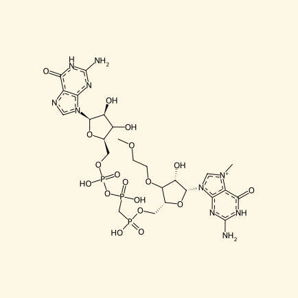 COCCOC1[C@@H](COP(=O)(O)CP(=O)(O)OP(=O)(O)OC[C@H]2O[C@@H](n3cnc4c(=O)[nH]c(N)nc43)[C@@H](O)C2O)O[C@@H](n2c[n+](C)c3c(=O)[nH]c(N)nc32)[C@H]1O